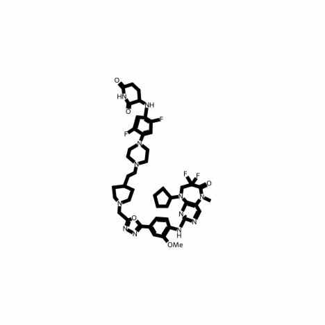 COc1cc(-c2nnc(CN3CCC(CCN4CCN(c5cc(F)c(NC6CCC(=O)NC6=O)cc5F)CC4)CC3)o2)ccc1Nc1ncc2c(n1)N(C1CCCC1)CC(F)(F)C(=O)N2C